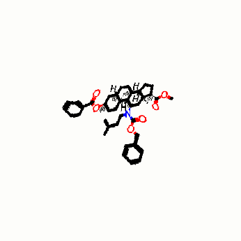 COC(=O)[C@H]1CC[C@H]2[C@@H]3CC[C@H]4C[C@H](OC(=O)c5ccccc5)CC[C@]4(C)[C@H]3[C@H](N(CCC(C)C)C(=O)OCc3ccccc3)C[C@]12C